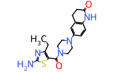 CCc1nc(N)sc1C(=O)N1CCN(c2ccc3c(c2)CCC(=O)N3)CC1